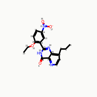 CCCc1ccnc2c(=O)[nH]c(-c3cc([N+](=O)[O-])ccc3OCC)nc12